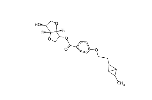 CC1C2C(CCOc3ccc(C(=O)O[C@@H]4CO[C@H]5[C@@H]4OC[C@@H]5O)cc3)C12